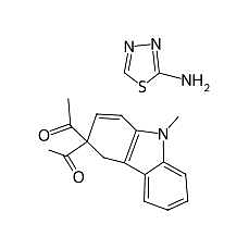 CC(=O)C1(C(C)=O)C=Cc2c(c3ccccc3n2C)C1.Nc1nncs1